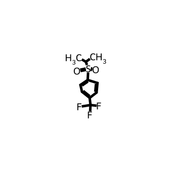 CC(C)S(=O)(=O)c1ccc(C(F)(F)F)cc1